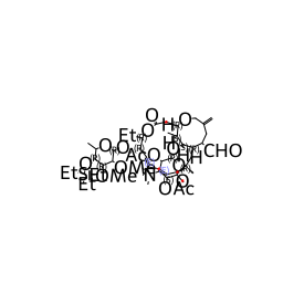 C=C1CO[C@@H]2CC(=O)O[C@H](CC)[C@@H](CO[C@@H]3OC(C)[C@@H](O[Si](CC)(CC)CC)[C@H](OC)C3OC)/C=C(C)/C=C/C(=O)[C@H](C)C[C@H](C(C=O)C1)[C@H](O[C@@H]1OC(C)[C@@H](OC(C)=O)C(N(C)C)C1OC(C)=O)[C@H]2C